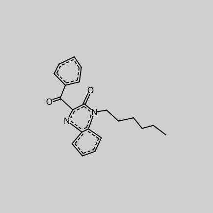 CCCCCCn1c(=O)c(C(=O)c2ccccc2)nc2ccccc21